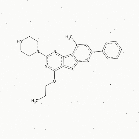 CCCOc1nc(N2CCNCC2)nc2c1sc1nc(-c3ccccc3)cc(C)c12